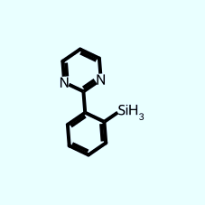 [SiH3]c1ccccc1-c1ncccn1